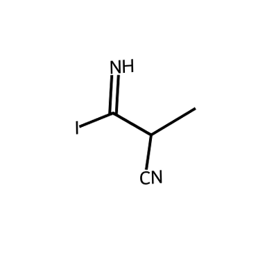 CC(C#N)C(=N)I